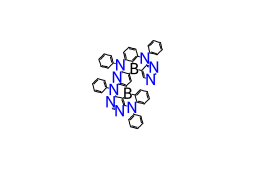 c1ccc(N2c3cccc4c3B(c3cncnc32)c2cc3c(nc2N4c2ccccc2)N(c2ccccc2)c2ncnc4c2B3c2ccccc2N4c2ccccc2)cc1